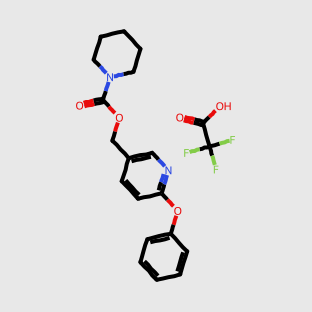 O=C(O)C(F)(F)F.O=C(OCc1ccc(Oc2ccccc2)nc1)N1CCCCC1